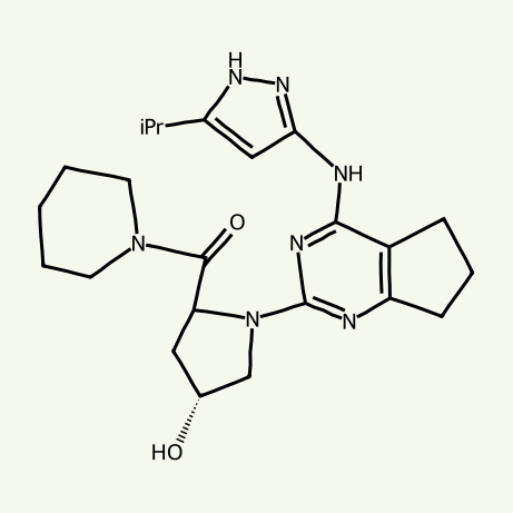 CC(C)c1cc(Nc2nc(N3C[C@H](O)CC3C(=O)N3CCCCC3)nc3c2CCC3)n[nH]1